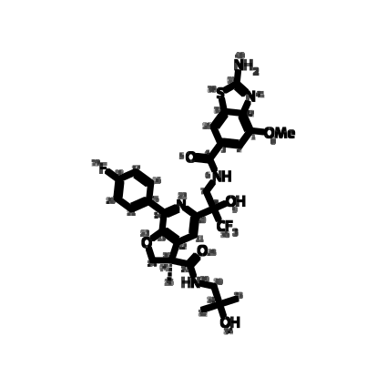 COc1cc(C(=O)NCC(O)(c2cc3c(c(-c4ccc(F)cc4)n2)OC[C@]3(C)C(=O)NCC(C)(C)O)C(F)(F)F)cc2sc(N)nc12